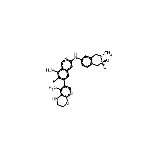 Cc1c(-c2cc3cc(Nc4ccc5c(c4)CN(C)S(=O)(=O)C5)ncc3c(N)c2F)cnc2c1NCCO2